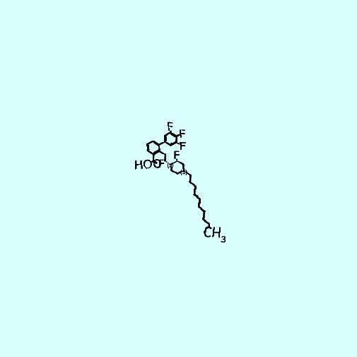 CCCCCCCCCC[C@H]1CC[C@H](C(F)Cc2c(C(=O)O)cccc2-c2cc(F)c(F)c(F)c2)C(F)C1